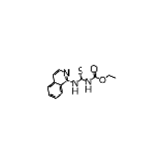 CCOC(=O)NC(=S)Nc1nccc2ccccc12